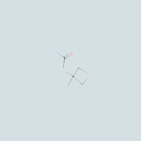 CC1(OC(N)=O)COC1